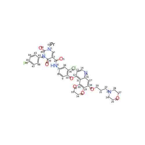 CC(C)n1cc(C(=O)Nc2ccc(Oc3ccnc4cc(OCCCN5CCOCC5)c5c(c34)OCCO5)c(Cl)c2)c(=O)n(-c2ccc(F)cc2)c1=O